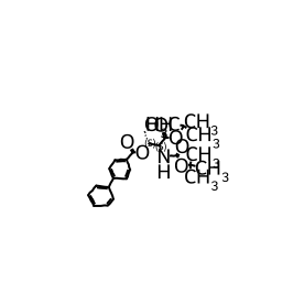 CC(C)(C)OC(=O)N[C@H](C(=O)OC(C)(C)C)[C@@H](CO)OC(=O)c1ccc(-c2ccccc2)cc1